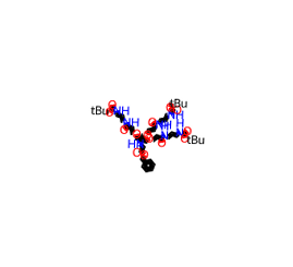 CC(C)(C)OC(=O)NCCCNC(=O)CCOCC(COCCC(=O)NCCCNC(=O)OC(C)(C)C)(COCCC(=O)NCCCNC(=O)OC(C)(C)C)NCC(=O)OCc1ccccc1